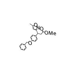 COC(=O)CC(c1ccc(OCc2ccccc2)cc1)c1cc(C)on1